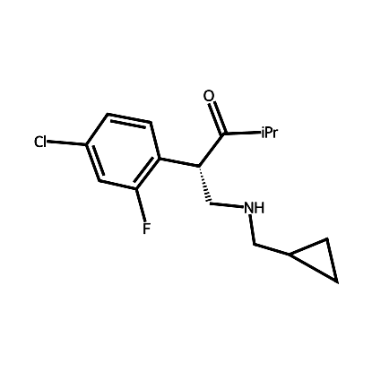 CC(C)C(=O)[C@H](CNCC1CC1)c1ccc(Cl)cc1F